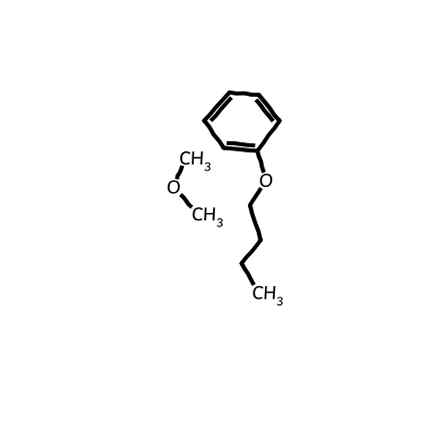 CCCCOc1ccccc1.COC